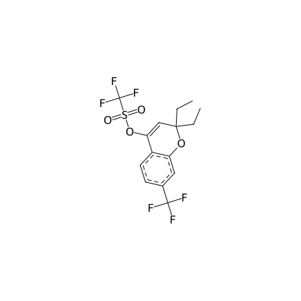 CCC1(CC)C=C(OS(=O)(=O)C(F)(F)F)c2ccc(C(F)(F)F)cc2O1